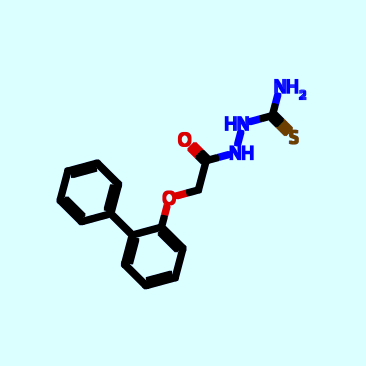 NC(=S)NNC(=O)COc1ccccc1-c1ccccc1